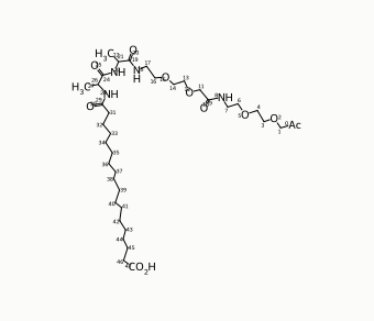 CC(=O)COCCOCCNC(=O)COCCOCCNC(=O)C(C)NC(=O)C(C)NC(=O)CCCCCCCCCCCCCCCCC(=O)O